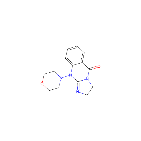 O=C1c2ccccc2N(N2CCOCC2)C2=NCCN12